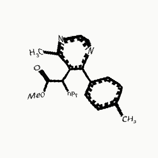 CCCC(C(=O)OC)c1c(C)ncnc1-c1ccc(C)cc1